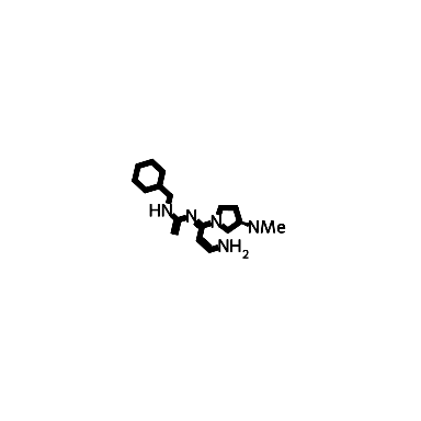 C=C(/N=C(\C=C/N)N1CC[C@@H](NC)C1)NCC1CCCCC1